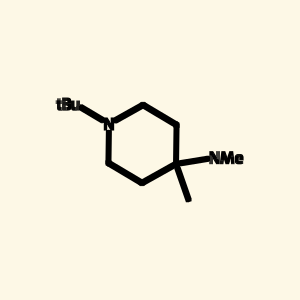 CNC1(C)CCN(C(C)(C)C)CC1